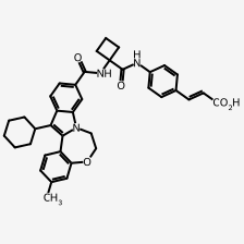 Cc1ccc2c(c1)OCCn1c-2c(C2CCCCC2)c2ccc(C(=O)NC3(C(=O)Nc4ccc(C=CC(=O)O)cc4)CCC3)cc21